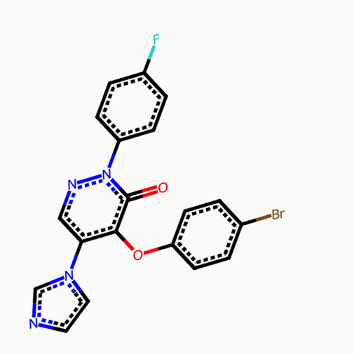 O=c1c(Oc2ccc(Br)cc2)c(-n2ccnc2)cnn1-c1ccc(F)cc1